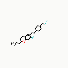 CCC1CCc2cc(CCC3CCC(CCF)CC3)c(F)cc2O1